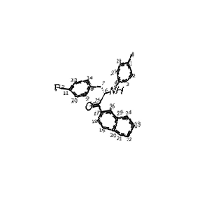 Cc1ccc(N[C@@H](Cc2ccc(F)cc2)C(=O)c2ccc3ccccc3c2)cc1